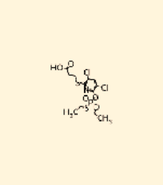 CCOP(=O)(Oc1nc(SCCC(=O)O)c(Cl)cc1Cl)SCC